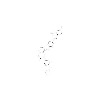 O=C(Nc1ccc(Nc2ccnc3c2CN(c2ccc(CN4CCCC4)cc2)C(=O)N3)cc1)c1ccc(F)cc1C(F)(F)F